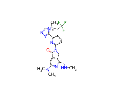 CNCc1nc(N(C)C)cc2c1CN(c1cccc(-c3nncn3[C@@H](C)CC(F)(F)F)n1)C2=O